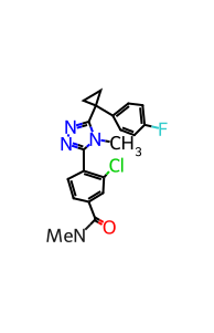 CNC(=O)c1ccc(-c2nnc(C3(c4ccc(F)cc4)CC3)n2C)c(Cl)c1